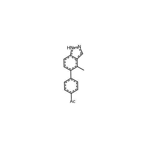 CC(=O)c1ccc(-c2ccc3[nH]ncc3c2C)cc1